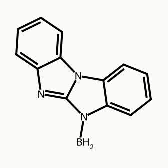 Bn1c2ccccc2n2c3ccccc3nc12